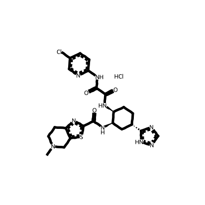 CN1CCc2nc(C(=O)N[C@@H]3C[C@@H](c4ncn[nH]4)CC[C@@H]3NC(=O)C(=O)Nc3ccc(Cl)cn3)sc2C1.Cl